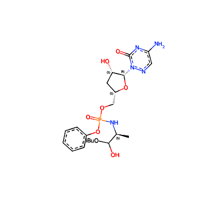 CC(C)COC(O)[C@H](C)NP(=O)(OC[C@@H]1C[C@H](O)[C@H](n2ncc(N)nc2=O)O1)Oc1ccccc1